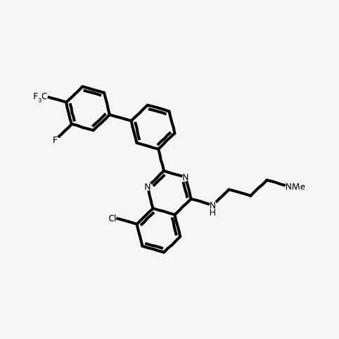 CNCCCNc1nc(-c2cccc(-c3ccc(C(F)(F)F)c(F)c3)c2)nc2c(Cl)cccc12